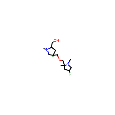 CN1CC(F)(COCC2(C)CC(F)CN2C)CC1CO